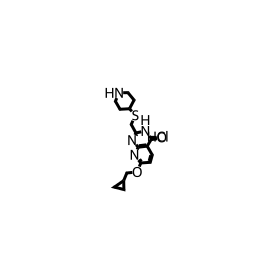 Cl.O=c1[nH]c(CSC2CCNCC2)nc2nc(OCC3CC3)ccc12